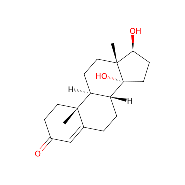 C[C@]12CCC(=O)C=C1CC[C@@H]1[C@@H]2CC[C@]2(C)[C@@H](O)CC[C@@]12O